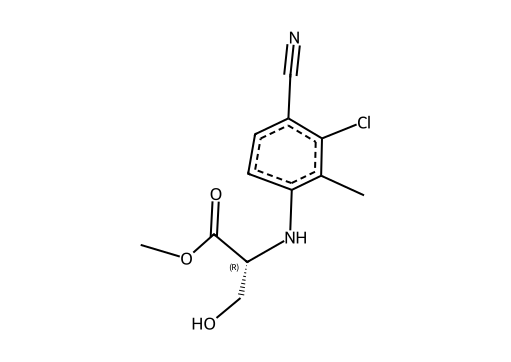 COC(=O)[C@@H](CO)Nc1ccc(C#N)c(Cl)c1C